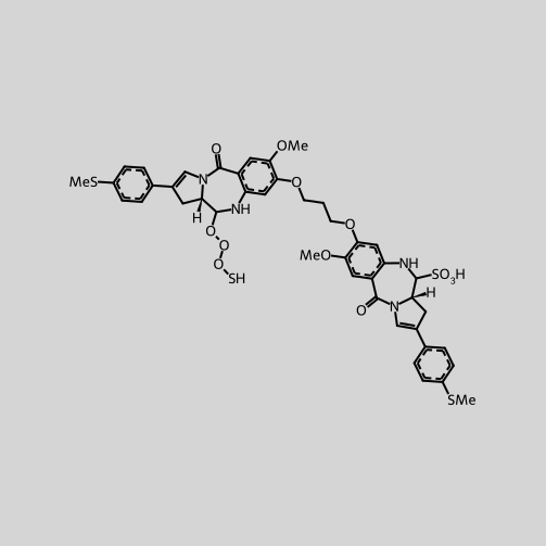 COc1cc2c(cc1OCCCOc1cc3c(cc1OC)C(=O)N1C=C(c4ccc(SC)cc4)C[C@H]1C(S(=O)(=O)O)N3)NC(OOOS)[C@@H]1CC(c3ccc(SC)cc3)=CN1C2=O